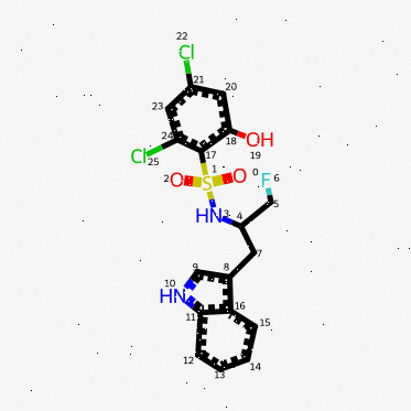 O=S(=O)(NC(CF)Cc1c[nH]c2ccccc12)c1c(O)cc(Cl)cc1Cl